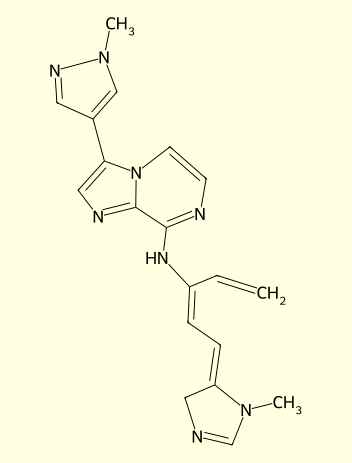 C=C/C(=C\C=C1/CN=CN1C)Nc1nccn2c(-c3cnn(C)c3)cnc12